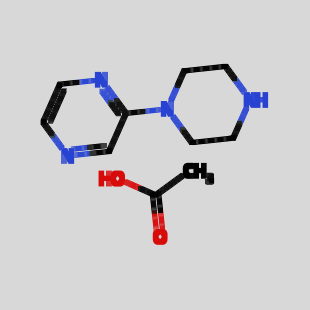 CC(=O)O.c1cnc(N2CCNCC2)cn1